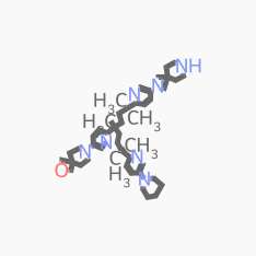 CC(C)(CCC(C)(CCC(C)(C)c1ccc(N2CC3(CCNCC3)C2)cn1)c1ccc(N2CCC3(CC2)COC3)cn1)c1ccc(N2CCCCC2)cn1